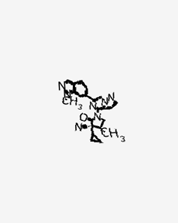 C[C@@H]1CN(c2nc(-c3ccc4cnn(C)c4c3)cn3nccc23)C(=O)[C@]1(C#N)C1CC1